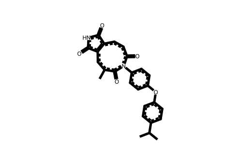 Cc1cc2c(=O)[nH]c(=O)c=2ccc(=O)n(-c2ccc(Oc3ccc(C(C)C)cc3)cc2)c1=O